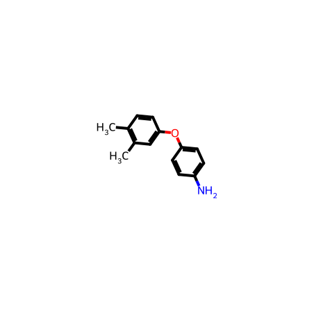 Cc1ccc(Oc2ccc(N)cc2)cc1C